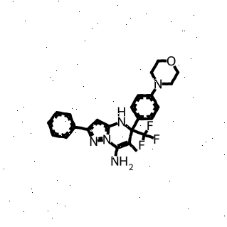 CC1=C(N)n2nc(-c3ccccc3)cc2NC1(c1ccc(N2CCOCC2)cc1)C(F)(F)F